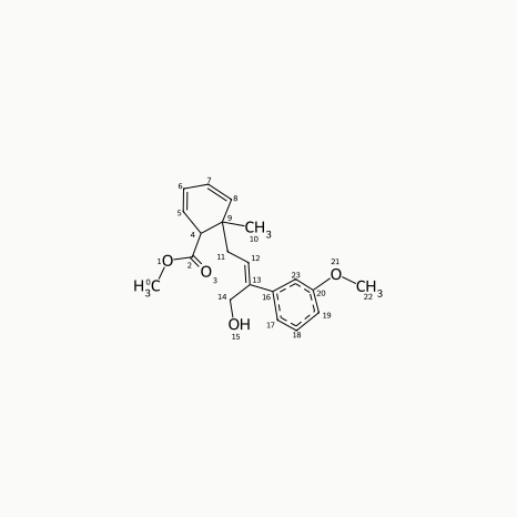 COC(=O)C1C=CC=CC1(C)C/C=C(\CO)c1cccc(OC)c1